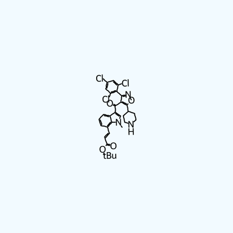 Cn1cc(C(=O)c2c(-c3c(Cl)cc(Cl)cc3Cl)noc2C2CCNCC2)c2cccc(/C=C/C(=O)OC(C)(C)C)c21